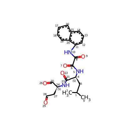 CC(C)C[C@H](NC(=O)C(=O)Nc1cccc2ccccc12)C(=O)N[C@H](C=O)CC=O